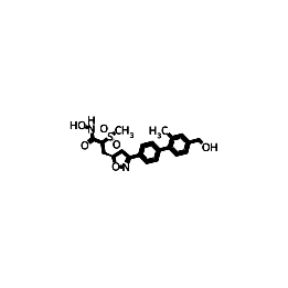 Cc1cc(CO)ccc1-c1ccc(C2=NO[C@@H](CC(C(=O)NO)S(C)(=O)=O)C2)cc1